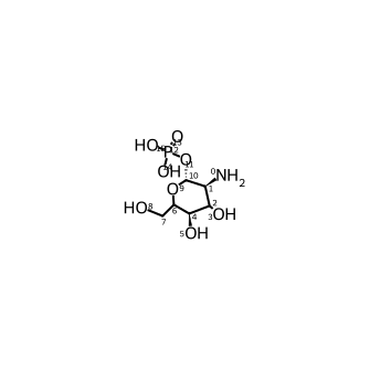 N[C@H]1C(O)[C@@H](O)C(CO)O[C@@H]1OP(=O)(O)O